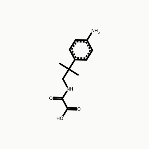 CC(C)(CNC(=O)C(=O)O)c1ccc(N)cc1